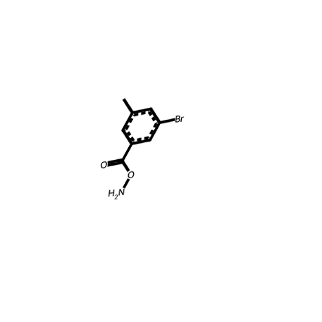 Cc1cc(Br)cc(C(=O)ON)c1